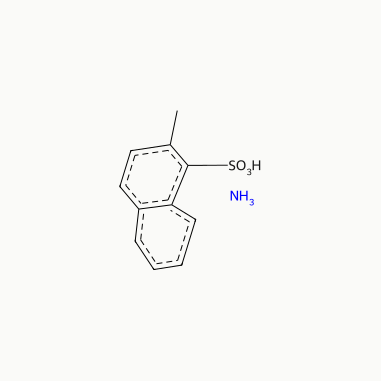 Cc1ccc2ccccc2c1S(=O)(=O)O.N